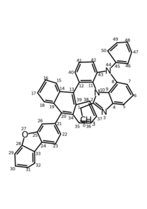 CCc1nc2cccc3c2n1-c1c(-c2c4ccccc4c(-c4ccc5c(c4)oc4ccccc45)c4ccccc24)cccc1N3c1ccccc1